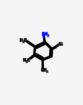 CCc1cc(C)c(C)c(C)c1N